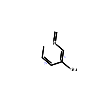 C=N/C=C(\C=C/C)C(C)(C)C